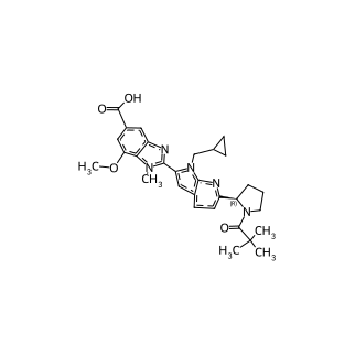 COc1cc(C(=O)O)cc2nc(-c3cc4ccc([C@H]5CCCN5C(=O)C(C)(C)C)nc4n3CC3CC3)n(C)c12